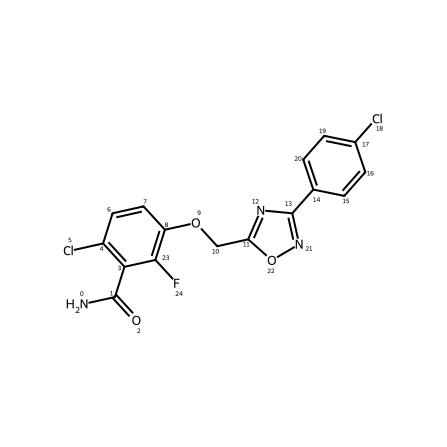 NC(=O)c1c(Cl)ccc(OCc2nc(-c3ccc(Cl)cc3)no2)c1F